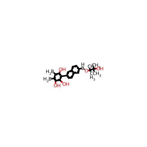 Bc1c(B)c(O)c(-c2ccc3cc(BOC(C)(C)C(C)(C)O)ccc3c2)c(O)c1O